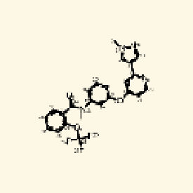 Cn1cc(-c2cc(Oc3cccc(NC(=O)c4ccccc4OC(F)(F)F)c3)ccn2)cn1